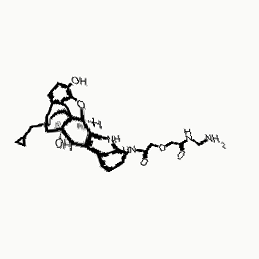 NCNC(=O)COCC(=O)Nc1cccc2c3c([nH]c12)[C@@H]1Oc2c(O)ccc4c2C12CCN(CC1CC1)C(C4)[C@]2(O)C3